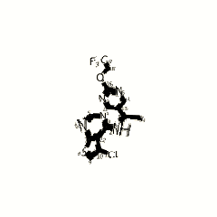 CC(Nc1ncnc2scc(Cl)c12)c1cnc(OCC(F)(F)F)nc1